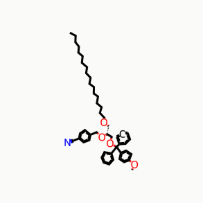 CCCCCCCCCCCCCCCCCCOC[C@H](COC(c1ccccc1)(c1ccccc1)c1ccc(OC)cc1)OCc1ccc(C#N)cc1